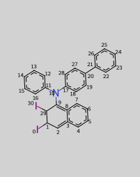 IC1C=c2ccccc2=C(N(c2ccccc2)c2ccc(-c3ccccc3)cc2)C1I